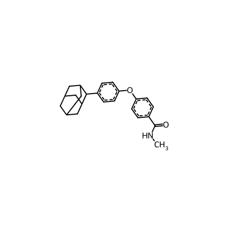 CNC(=O)c1ccc(Oc2ccc(C3C4CC5CC(C4)CC3C5)cc2)cc1